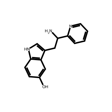 NC(Cc1c[nH]c2ccc(O)cc12)c1ccccn1